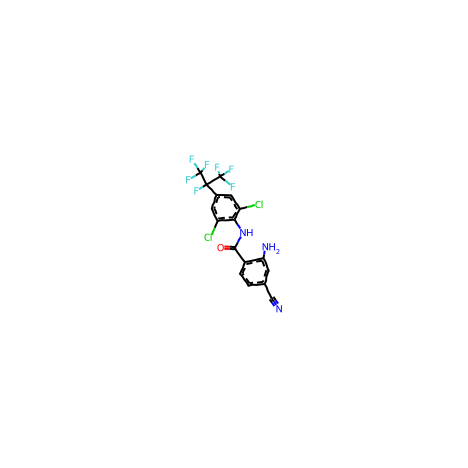 N#Cc1ccc(C(=O)Nc2c(Cl)cc(C(F)(C(F)(F)F)C(F)(F)F)cc2Cl)c(N)c1